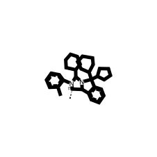 Cc1ccccc1N1C(C2CCCCC2)N2C(c3ccccc3C2(C2CCCCC2)C2CCCC2)[C@@H]1C